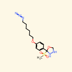 CS(=O)(=O)C1(c2ccc(OCCCCCCN=[N+]=[N-])cc2)NNCO1